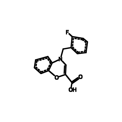 O=C(O)C1=CN(Cc2ccccc2F)c2ccccc2O1